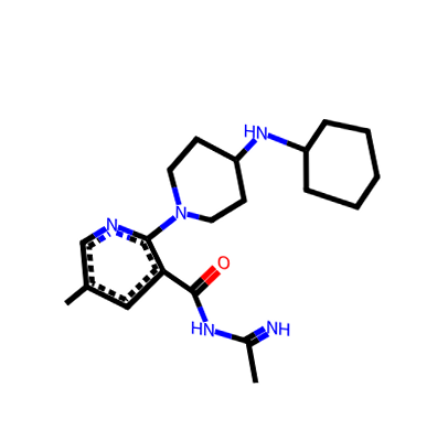 CC(=N)NC(=O)c1cc(C)cnc1N1CCC(NC2CCCCC2)CC1